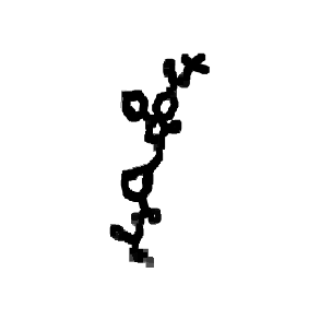 CC(C)(C)OC(=O)N1CCC2(CC1)C(=O)N(Cc1cccc(C(=O)OCC(N)=O)c1)CN2c1ccccc1